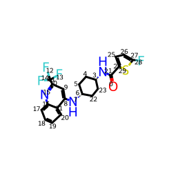 O=C(N[C@H]1CC[C@@H](Nc2cc(C(F)(F)F)nc3ccccc23)CC1)c1ccc(F)s1